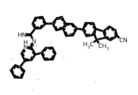 CC1(C)c2cc(C#N)ccc2-c2ccc(-c3ccc4cc(-c5cccc(C(=N)/N=c6\[nH]cc(-c7ccccc7)cc6-c6ccccc6)c5)ccc4c3)cc21